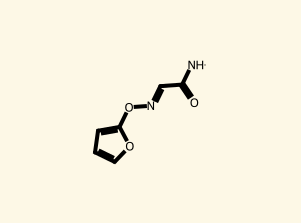 [NH]C(=O)C=NOc1ccco1